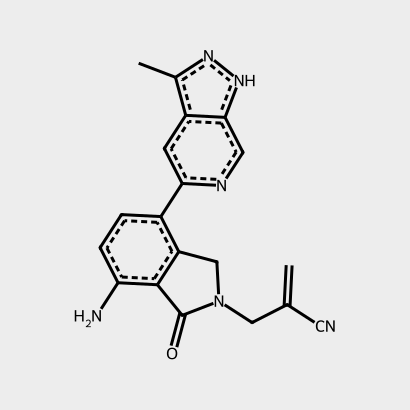 C=C(C#N)CN1Cc2c(-c3cc4c(C)n[nH]c4cn3)ccc(N)c2C1=O